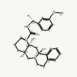 CC(C)Oc1cccc([C@@H](C)NC(=O)N2CCC[C@@H]3CN4CCc5ccccc5[C@H]4C[C@@H]32)c1